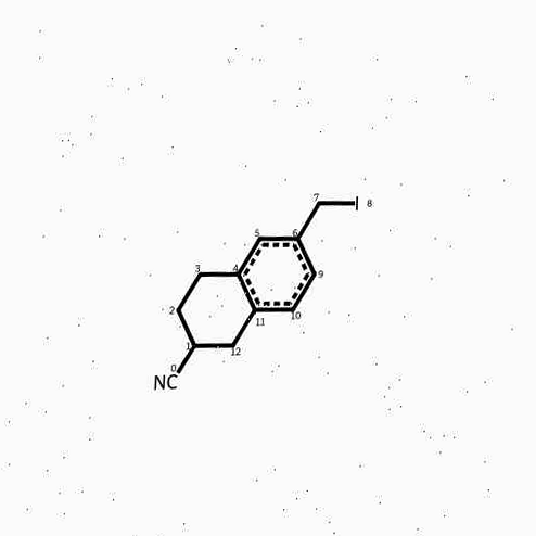 N#CC1CCc2cc(CI)ccc2C1